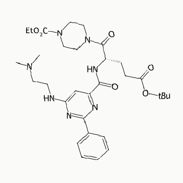 CCOC(=O)N1CCN(C(=O)[C@H](CCC(=O)OC(C)(C)C)NC(=O)c2cc(NCCN(C)C)nc(-c3ccccc3)n2)CC1